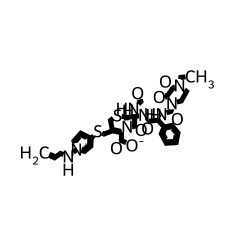 C=CCN[n+]1ccc(SCC2=C(C(=O)[O-])N3C(=O)[C@@](NC=O)(NC(=O)[C@H](NC(=O)N4CCN(CC)C(=O)C4=O)c4ccccc4)[C@H]3SC2)cc1